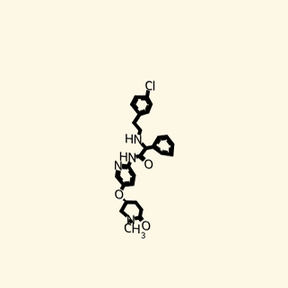 CN1C[C@@H](Oc2ccc(NC(=O)C(NCCc3ccc(Cl)cc3)c3ccccc3)nc2)CCC1=O